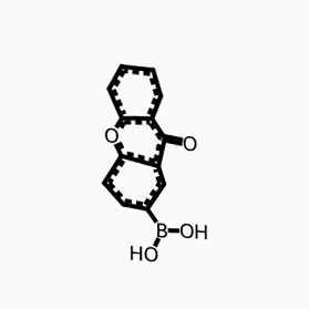 O=c1c2ccccc2oc2ccc(B(O)O)cc12